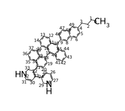 CCCCc1ccc2cc(-c3c4ccccc4c(-c4ccc(C5=C(C6=CC=CNC6)C=CNC5)c5ccccc45)c4ccccc34)ccc2c1